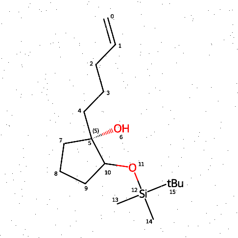 C=CCCC[C@]1(O)CCCC1O[Si](C)(C)C(C)(C)C